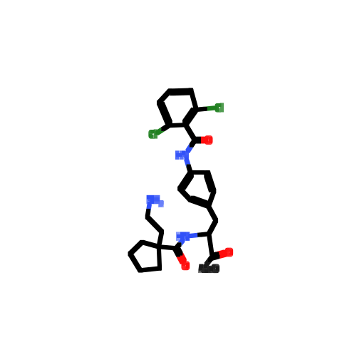 COC(=O)C(Cc1ccc(NC(=O)c2c(Cl)cccc2Cl)cc1)NC(=O)C1(CCN)CCCC1